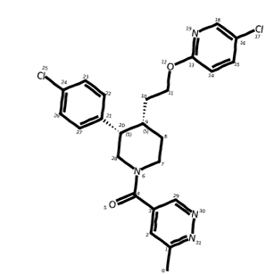 Cc1cc(C(=O)N2CC[C@@H](CCOc3ccc(Cl)cn3)[C@@H](c3ccc(Cl)cc3)C2)cnn1